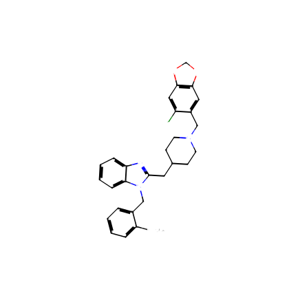 COc1ccccc1Cn1c(CC2CCN(Cc3cc4c(cc3Cl)OCO4)CC2)nc2ccccc21